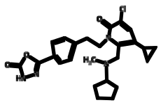 CN(Cc1c(C2CC2)cc(Cl)c(=O)n1CCc1ccc(-c2n[nH]c(=O)o2)cc1)C1CCCC1